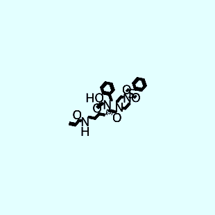 C=CC(=O)NCCCC[C@@H](C(=O)N1CCN(S(=O)(=O)c2ccccc2)CC1)N(Cc1ccccc1)C(=O)O